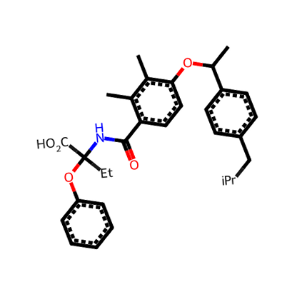 CCC(NC(=O)c1ccc(OC(C)c2ccc(CC(C)C)cc2)c(C)c1C)(Oc1ccccc1)C(=O)O